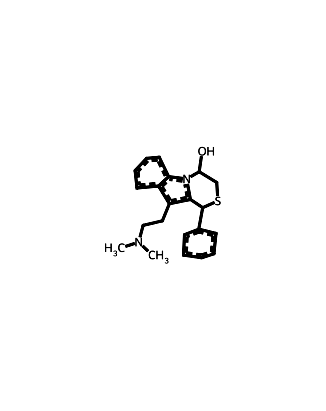 CN(C)CCc1c2n(c3ccccc13)C(O)CSC2c1ccccc1